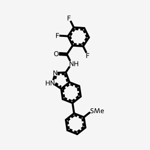 CSc1ccccc1-c1ccc2c(NC(=O)c3c(F)ccc(F)c3F)n[nH]c2c1